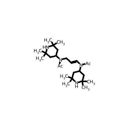 CC(=O)N(C=CCN(C(C)=O)C1CC(C)(C)NC(C)(C)C1)C1CC(C)(C)NC(C)(C)C1